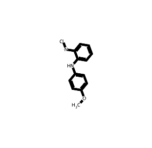 COc1ccc(Nc2ccccc2[N]Cl)cc1